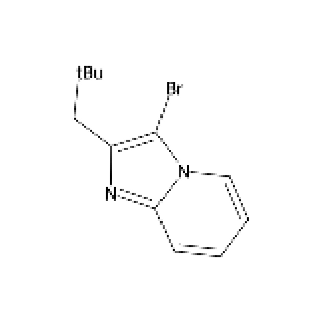 CC(C)(C)Cc1nc2ccccn2c1Br